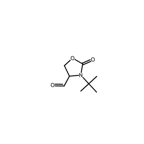 CC(C)(C)N1C(=O)OCC1C=O